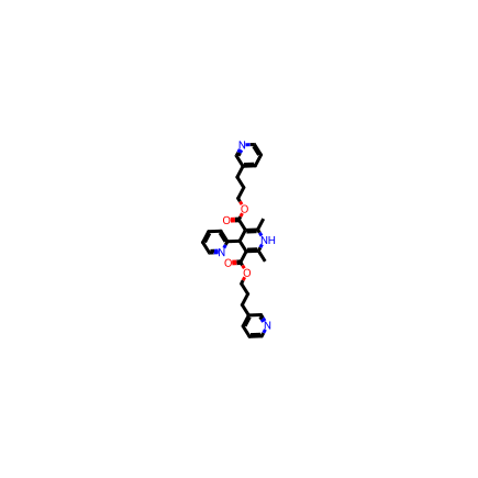 CC1=C(C(=O)OCCCc2cccnc2)C(c2ccccn2)C(C(=O)OCCCc2cccnc2)=C(C)N1